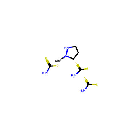 NC(=S)[S-].NC(=S)[S-].NC(=S)[S-].[Mo+3][N]1CCCN1